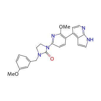 COc1cccc(CN2CCN(c3ccc(-c4ccnc5[nH]ccc45)c(OC)n3)C2=O)c1